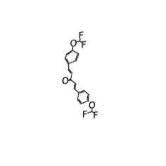 O=C(C=Cc1ccc(OC(F)F)cc1)C=Cc1ccc(OC(F)F)cc1